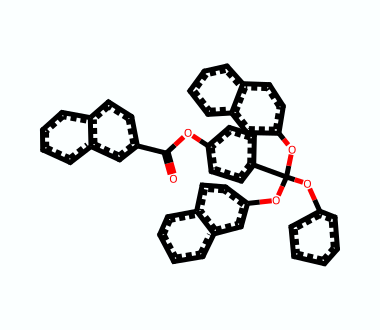 O=C(Oc1ccc(C(Oc2ccccc2)(Oc2ccc3ccccc3c2)Oc2ccc3ccccc3c2)cc1)c1ccc2ccccc2c1